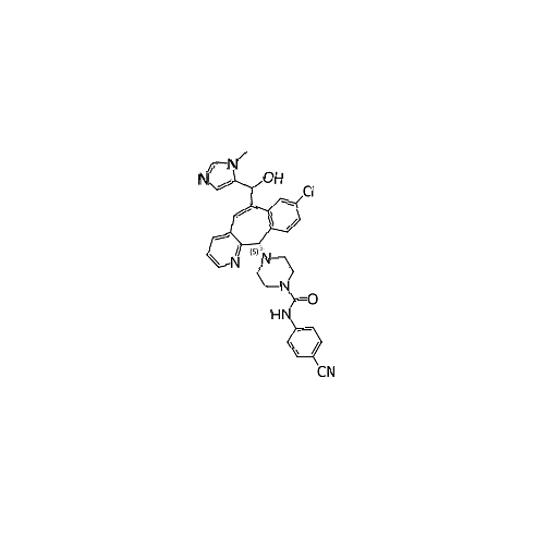 Cn1cncc1C(O)C1=Cc2cccnc2[C@@H](N2CCN(C(=O)Nc3ccc(C#N)cc3)CC2)c2ccc(Cl)cc21